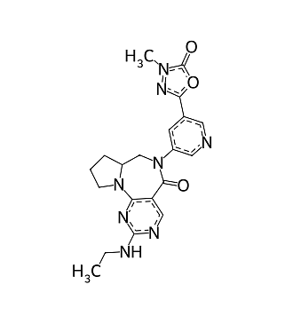 CCNc1ncc2c(n1)N1CCCC1CN(c1cncc(-c3nn(C)c(=O)o3)c1)C2=O